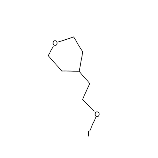 IOCCC1CCOCC1